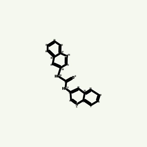 O=C(Nc1cnc2ccccc2c1)Nc1cnc2ccccc2c1